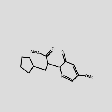 COC(=O)C(CC1CCCC1)n1ncc(OC)cc1=O